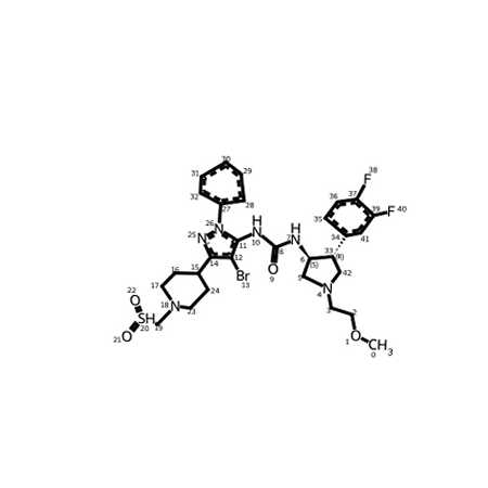 COCCN1C[C@@H](NC(=O)Nc2c(Br)c(C3CCN(C[SH](=O)=O)CC3)nn2-c2ccccc2)[C@H](c2ccc(F)c(F)c2)C1